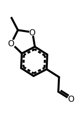 CC1Oc2ccc(CC=O)cc2O1